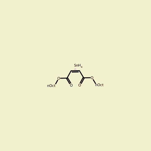 CCCCCCCCOC(=O)/C=C\C(=O)OCCCCCCCC.[SnH4]